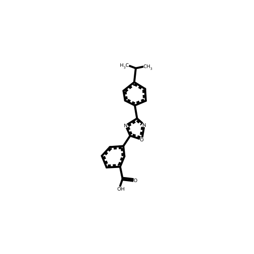 CC(C)c1ccc(-c2noc(-c3cccc(C(=O)O)c3)n2)cc1